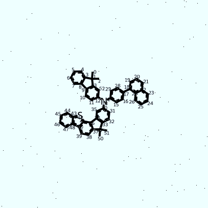 CC1(C)c2ccccc2-c2ccc(N(c3ccc(-c4cccc5ccccc45)cc3)c3ccc4c(c3)-c3c(ccc5c3sc3ccccc35)C4(C)C)cc21